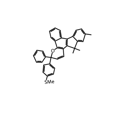 CSc1ccc(C2(c3ccccc3)C=Cc3c4c(c5ccccc5c3O2)-c2ccc(C)cc2C4(C)C)cc1